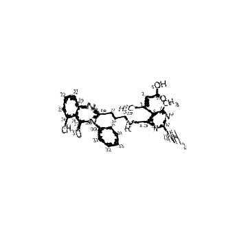 C/C(=C/C(=O)O)c1c(C)nc(N)nc1NCCCc1nc2cccc(C)c2c(=O)n1-c1ccccc1